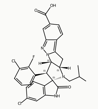 CC(C)CN1[C@H]2Cc3c4ccc(C(=O)O)cc4nn3[C@H]2[C@H](c2cccc(Cl)c2F)[C@]12C(=O)Nc1cc(Cl)ccc12